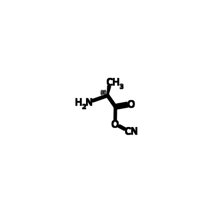 C[C@H](N)C(=O)OC#N